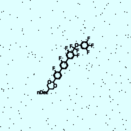 CCCCCCCCCCC1COC(c2ccc(-c3ccc(-c4cc(F)c(C(F)(F)Oc5cc(F)c(F)c(F)c5)c(F)c4)c(F)c3)c(F)c2)OC1